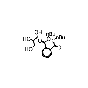 CCCCOC(=O)c1ccccc1C(=O)OCCCC.OCC(O)CO